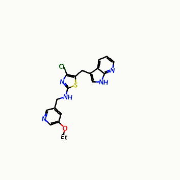 CCOc1cncc(CNc2nc(Cl)c(Cc3c[nH]c4ncccc34)s2)c1